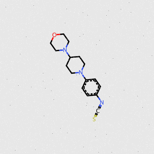 S=C=Nc1ccc(N2CCC(N3CCOCC3)CC2)cc1